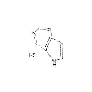 Cl.c1cc2cc[nH]c2cn1